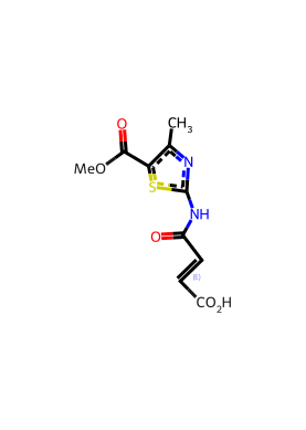 COC(=O)c1sc(NC(=O)/C=C/C(=O)O)nc1C